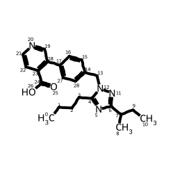 CCCCc1nc(C(C)CC)nn1Cc1ccc(-c2cnccc2C(=O)O)cc1